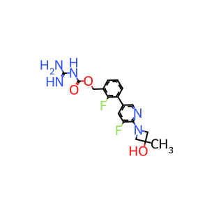 CC1(O)CN(c2ncc(-c3cccc(COC(=O)NC(=N)N)c3F)cc2F)C1